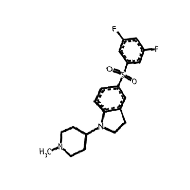 CN1CCC(N2CCc3cc(S(=O)(=O)c4cc(F)cc(F)c4)ccc32)CC1